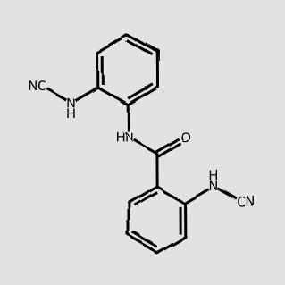 N#CNc1ccccc1NC(=O)c1ccccc1NC#N